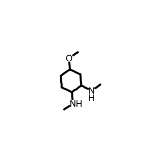 CNC1CCC(OC)CC1NC